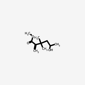 C=C(C(=O)OC)C(C)(C)CC(C)O